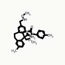 CONCc1ccc2c(c1)CCc1cc(C)ccc1C2(C[C@@H](C)N)c1nn(-c2ccc(C)cc2)c(=O)[nH]1